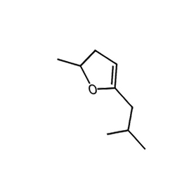 CC(C)CC1=CCC(C)O1